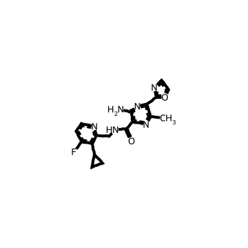 Cc1nc(C(=O)NCc2nccc(F)c2C2CC2)c(N)nc1-c1ncco1